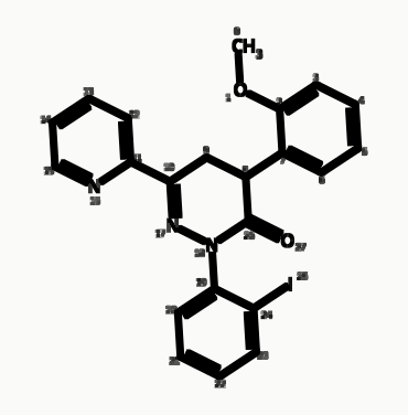 COc1ccccc1C1CC(c2ccccn2)=NN(c2ccccc2I)C1=O